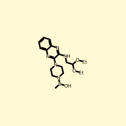 CCOC(CNc1nc2ccccc2nc1N1CCN(B(C)O)CC1)OCC